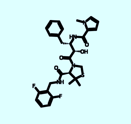 Cn1cccc1C(=O)N[C@@H](Cc1ccccc1)[C@H](O)C(=O)N1CSC(C)(C)[C@H]1C(=O)NCc1c(F)cccc1F